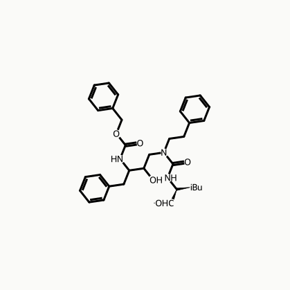 CC[C@H](C)[C@@H]([C]=O)NC(=O)N(CCc1ccccc1)CC(O)C(Cc1ccccc1)NC(=O)OCc1ccccc1